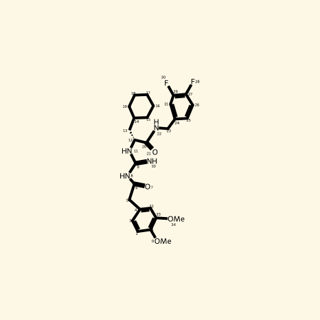 COc1ccc(CC(=O)NC(=N)N[C@H](CC2CCCCC2)C(=O)NCc2ccc(F)c(F)c2)cc1OC